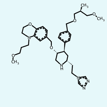 COCCCN1CCOc2ccc(CO[C@H]3CN[C@@H](CCn4cnnc4)C[C@@H]3c3ccc(COC[C@@H](C)COC)cc3)cc21